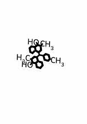 Cc1ccc(C(c2cc(C)c(O)c3ccccc23)c2cc(C)c(O)c3ccccc23)cc1